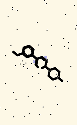 C/C=C(\C=N/C(C)N1CCN(C)CC1)c1cccc(CC)c1